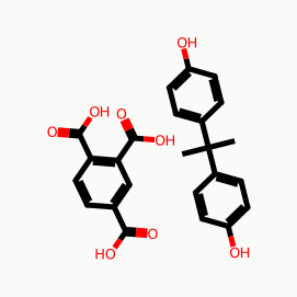 CC(C)(c1ccc(O)cc1)c1ccc(O)cc1.O=C(O)c1ccc(C(=O)O)c(C(=O)O)c1